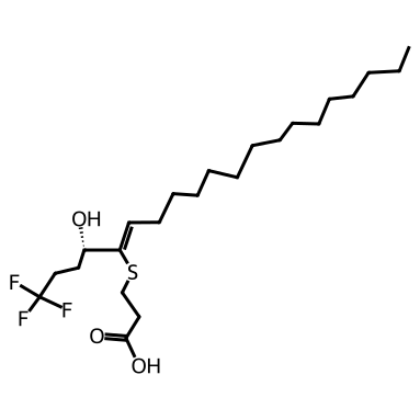 CCCCCCCCCCCCCCC=C(SCCC(=O)O)[C@@H](O)CCC(F)(F)F